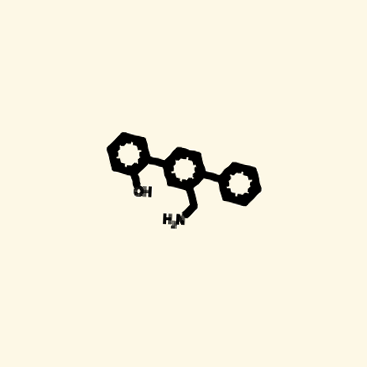 NCc1cc(-c2ccccc2O)ccc1-c1ccccc1